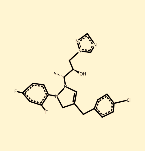 C[C@H]([C@H](O)Cn1cncn1)N1C=C(Cc2ccc(Cl)cc2)CN1c1ccc(F)cc1F